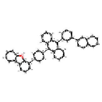 c1cc(-c2ccc3ccccc3c2)cc(-c2c3ccccc3c(-c3ccc(-c4cccc5c4oc4ccccc45)cc3)c3ccccc23)c1